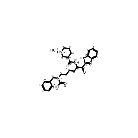 Cl.O=C(c1nc2ccccc2s1)C(CCCCN(Cc1ccccc1)C(=O)O)NC(=O)[C@@H]1CCCNC1